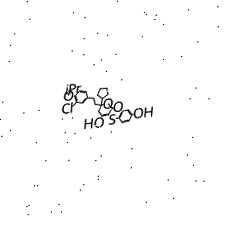 CC(C)Oc1ccc(CCC2(C3CCCC3)CC(O)=C(Sc3ccc(O)cc3)C(=O)O2)cc1Cl